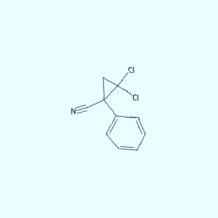 N#CC1(c2ccccc2)CC1(Cl)Cl